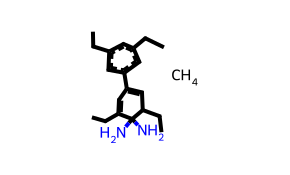 C.CCC1=CC(c2cc(CC)cc(CC)c2)=CC(CC)C1(N)N